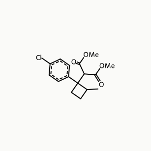 COC(=O)C(C(=O)OC)C1(c2ccc(Cl)cc2)CCC1C